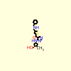 C[C@H]1C[C@H](Nc2ncncc2C(=O)c2cc(CNCc3ccccc3)cs2)C[C@@H]1CO